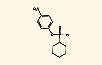 O=[N+]([O-])c1ccc(OP(=O)(Cl)C2CCCCC2)cc1